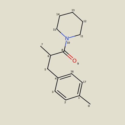 Cc1ccc(CC(C)C(=O)N2CCCCC2)cc1